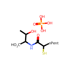 CCCCCC(S)C(=O)NC(C(=O)O)C(C)O.O=P(O)(O)O